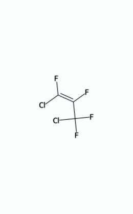 FC(Cl)=C(F)C(F)(F)Cl